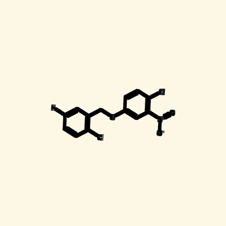 O=[N+]([O-])c1cc(OCc2cc(F)ccc2Cl)ccc1Cl